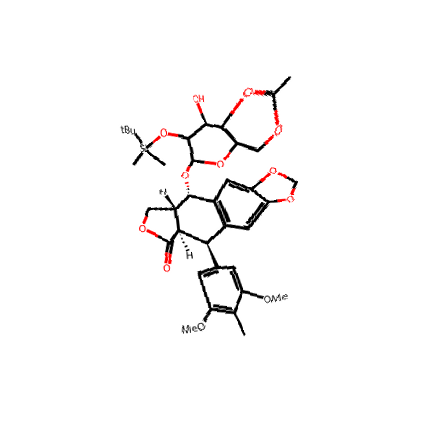 COc1cc([C@@H]2c3cc4c(cc3[C@@H](OC3OC5COC(C)OC5C(O)C3O[Si](C)(C)C(C)(C)C)[C@H]3COC(=O)[C@H]23)OCO4)cc(OC)c1C